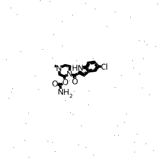 CN1CCN(C(=O)c2cc3cc(Cl)ccc3[nH]2)C(OC(N)=O)C1